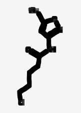 CC(C)(C)c1cc(NC(=O)CCCCCl)no1